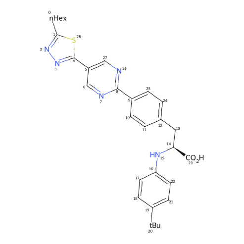 CCCCCCc1nnc(-c2cnc(-c3ccc(C[C@H](Nc4ccc(C(C)(C)C)cc4)C(=O)O)cc3)nc2)s1